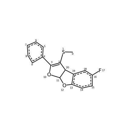 CSC1=C(c2ccccc2)OC2Oc3ccc(F)cc3C12